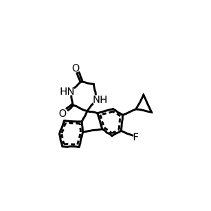 O=C1CNC2(C(=O)N1)c1ccccc1-c1cc(F)c(C3CC3)cc12